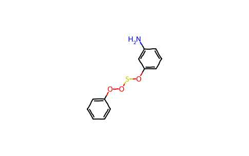 Nc1cccc(OSOOc2ccccc2)c1